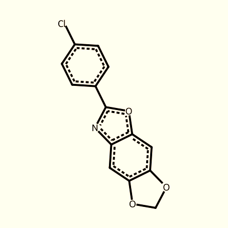 Clc1ccc(-c2nc3cc4c(cc3o2)OCO4)cc1